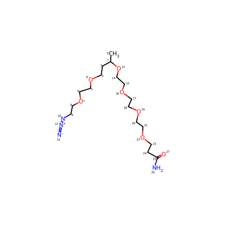 CC(CCOCCOCCN=[N+]=[N-])OCCOCCOCCOCCC(N)=O